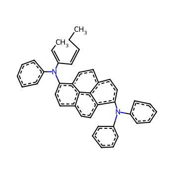 C/C=C(\C=C/CC)N(c1ccccc1)c1ccc2ccc3c(N(c4ccccc4)c4ccccc4)ccc4ccc1c2c43